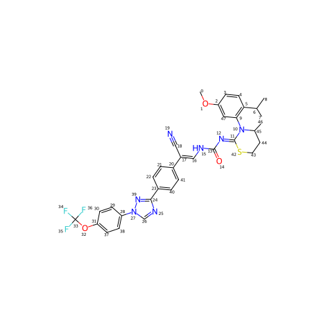 COc1ccc(C(C)C)c(N2/C(=N/C(=O)N/C=C(\C#N)c3ccc(-c4ncn(-c5ccc(OC(F)(F)F)cc5)n4)cc3)SCCC2C)c1